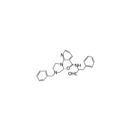 O=CC(Cc1ccccc1)NC(=O)c1cccnc1N1CCN(Cc2ccccc2)CC1